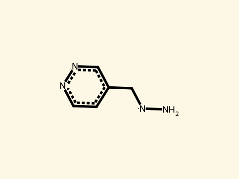 N[N]Cc1ccnnc1